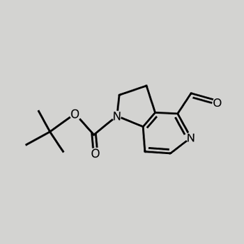 CC(C)(C)OC(=O)N1CCc2c1ccnc2C=O